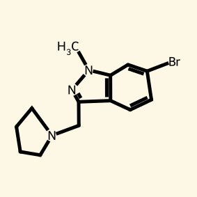 Cn1nc(CN2CCCC2)c2ccc(Br)cc21